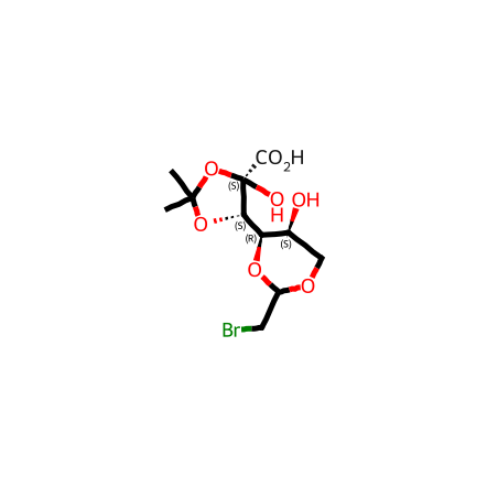 CC1(C)O[C@@H]([C@@H]2OC(CBr)OC[C@@H]2O)[C@@](O)(C(=O)O)O1